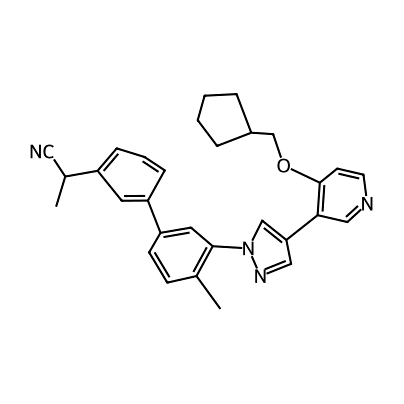 Cc1ccc(-c2cccc(C(C)C#N)c2)cc1-n1cc(-c2cnccc2OCC2CCCC2)cn1